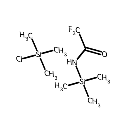 C[Si](C)(C)Cl.C[Si](C)(C)NC(=O)C(F)(F)F